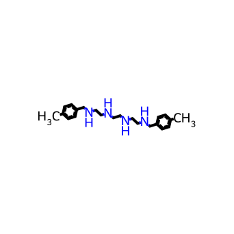 Cc1ccc(CNCCNCCNCCNCc2ccc(C)cc2)cc1